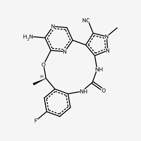 C[C@H]1Oc2nc(cnc2N)-c2c(nn(C)c2C#N)NC(=O)Nc2ccc(F)cc21